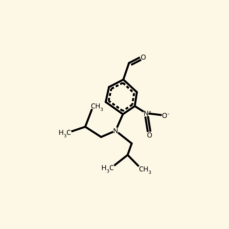 CC(C)CN(CC(C)C)c1ccc(C=O)cc1[N+](=O)[O-]